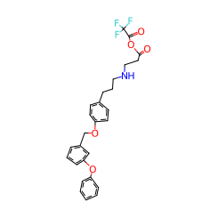 O=C(CCNCCCc1ccc(OCc2cccc(Oc3ccccc3)c2)cc1)OC(=O)C(F)(F)F